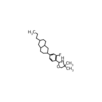 CCCC1CCC2CC(c3ccc(C4NC(C)(C)CO4)c(F)c3)CCC2C1